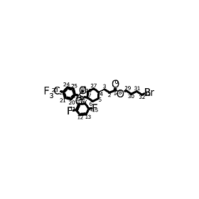 O=C(CC[C@H]1CC[C@@](C2C=C(F)C=CC2F)(S(=O)(=O)c2ccc(C(F)(F)F)cc2)CC1)OCCCCBr